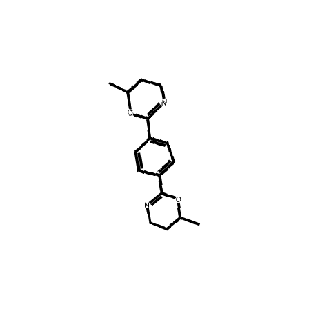 CC1CCN=C(c2ccc(C3=NCCC(C)O3)cc2)O1